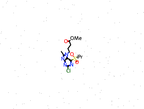 COC(=O)CCCn1c(C)nc2nc(Cl)nc(S(=O)(=O)C(C)C)c21